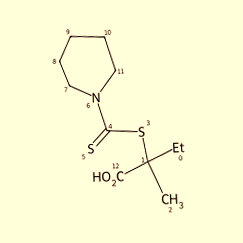 CCC(C)(SC(=S)N1CCCCC1)C(=O)O